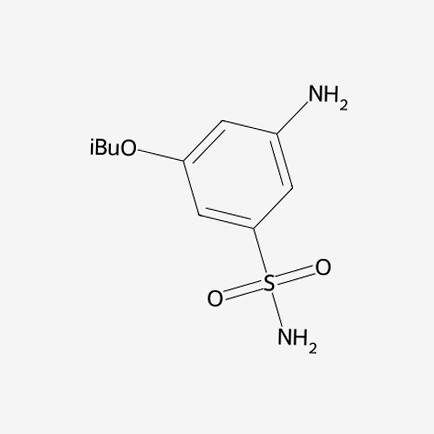 CC(C)COc1cc(N)cc(S(N)(=O)=O)c1